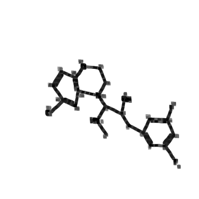 CNC(C(O)Cc1cc(F)cc(F)c1)N1CCOc2ccc(Cl)cc21